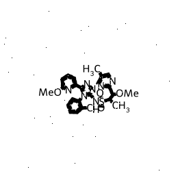 COc1cccc(-c2nnc(NS(=O)(=O)C(C)C(OC)c3ncc(C)cn3)n2-c2ccccc2Cl)n1